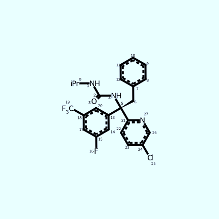 CC(C)NC(=O)N[C@@](Cc1ccccc1)(c1cc(F)cc(C(F)(F)F)c1)c1ccc(Cl)cn1